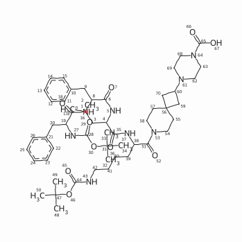 CC(C)CC(NC(=O)C(Cc1ccccc1)NC(=O)C(Cc1ccccc1)NC(=O)OC(C)(C)C)C(=O)NC(CCCCNC(=O)OC(C)(C)C)C(=O)N1CCC2(CC1)CC(N1CCN(C(=O)O)CC1)C2